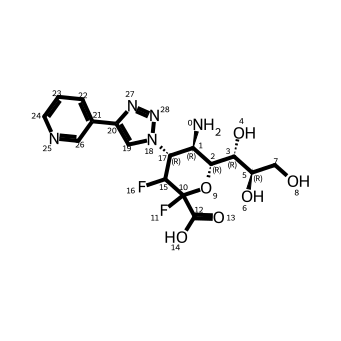 N[C@H]1[C@H]([C@H](O)[C@H](O)CO)OC(F)(C(=O)O)C(F)[C@@H]1n1cc(-c2cccnc2)nn1